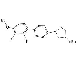 CCCCC1CCC(c2ccc(-c3ccc(OCC)c(F)c3F)cc2)C1